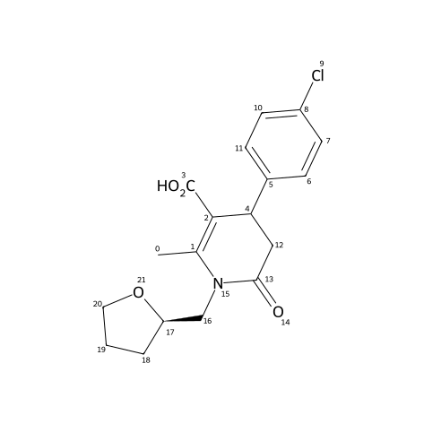 CC1=C(C(=O)O)C(c2ccc(Cl)cc2)CC(=O)N1C[C@H]1CCCO1